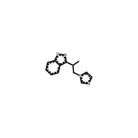 CC(Cn1ccnc1)c1noc2ccccc12